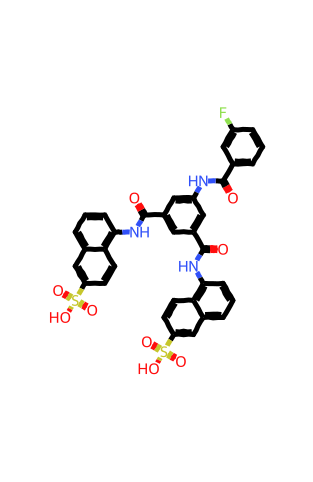 O=C(Nc1cc(C(=O)Nc2cccc3cc(S(=O)(=O)O)ccc23)cc(C(=O)Nc2cccc3cc(S(=O)(=O)O)ccc23)c1)c1cccc(F)c1